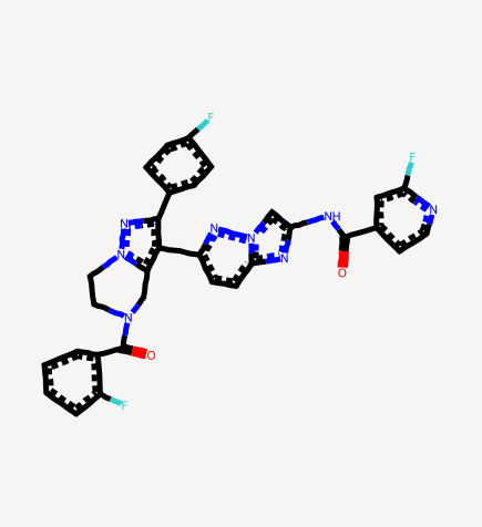 O=C(Nc1cn2nc(-c3c(-c4ccc(F)cc4)nn4c3CN(C(=O)c3ccccc3F)CC4)ccc2n1)c1ccnc(F)c1